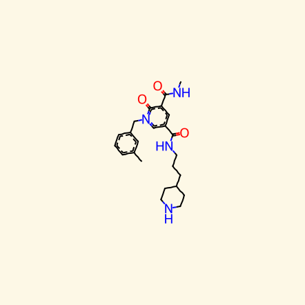 CNC(=O)c1cc(C(=O)NCCCC2CCNCC2)cn(Cc2cccc(C)c2)c1=O